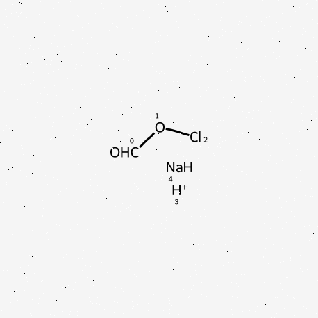 O=COCl.[H+].[NaH]